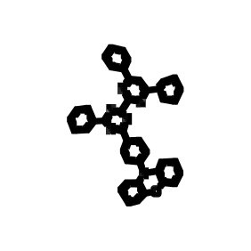 c1ccc(-c2cc(-c3ccccc3)nc(-c3nc(-c4ccccc4)nc(-c4ccc(N5c6ccccc6Oc6ccccc65)cc4)n3)n2)cc1